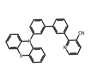 N#Cc1cccnc1-c1cccc(-c2cccc(N3c4ccccc4Sc4ccccc43)c2)c1